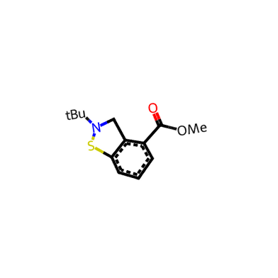 COC(=O)c1cccc2c1CN(C(C)(C)C)S2